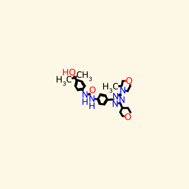 CC1COCCN1c1nc(-c2ccc(NC(=O)Nc3ccc(C(C)(C)O)cc3)cc2)nc(C2CCOCC2)n1